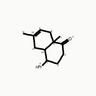 CCCC1CCC(=O)C2(C)CC=C(C)CC12